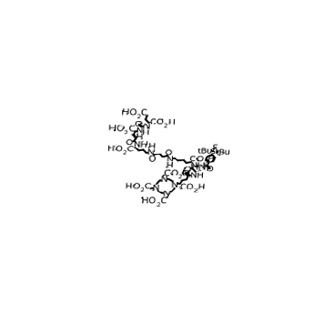 CC(C)(C)[Si](F)(c1ccc(C(=O)NC[C@H](NC(=O)CC[C@@H](C(=O)O)N2CCN(CC(=O)O)CCN(CC(=O)O)CCN(CC(=O)O)CC2)C(=O)N[C@H](CCCCNC(=O)CCC(=O)NCCC[C@H](NC(=O)CC[C@H](NC(=O)N[C@@H](CCC(=O)O)C(=O)O)C(=O)O)C(=O)O)C(=O)O)cc1)C(C)(C)C